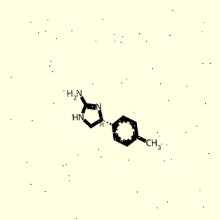 Cc1ccc([C@@H]2CNC(N)=N2)cc1